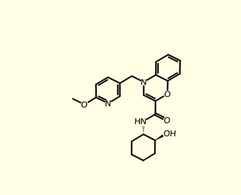 COc1ccc(CN2C=C(C(=O)N[C@H]3CCCC[C@@H]3O)Oc3ccccc32)cn1